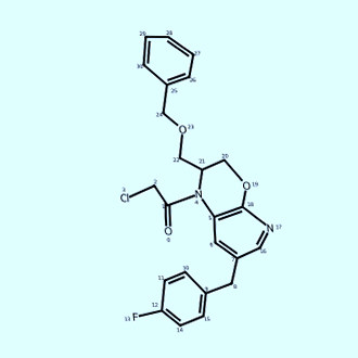 O=C(CCl)N1c2cc(Cc3ccc(F)cc3)cnc2OCC1COCc1ccccc1